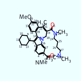 CNC(=O)c1ccc2c(C3CCCCC3)c3n(c2c1)CC(C(=O)N(C)CCCCN(C)C)=C(C)c1cc(OC)ccc1-3